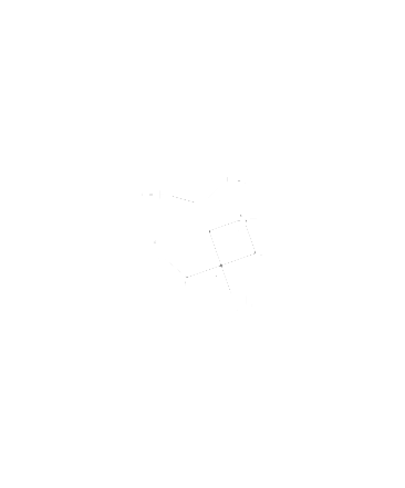 CC(C)(C)OC=O.CC1(CO)CNC1